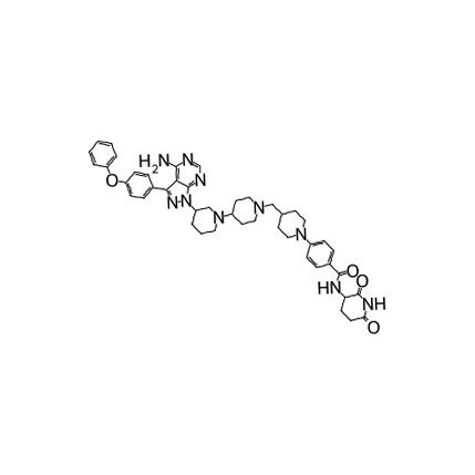 Nc1ncnc2c1c(-c1ccc(Oc3ccccc3)cc1)nn2C1CCCN(C2CCN(CC3CCN(c4ccc(C(=O)NC5CCC(=O)NC5=O)cc4)CC3)CC2)C1